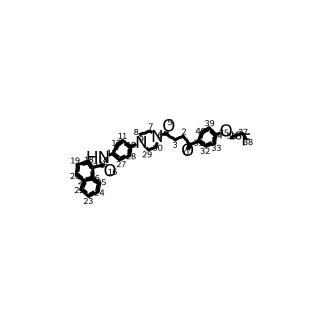 O=C(CCC(=O)N1CCN(c2ccc(NC(=O)c3cccc4ccccc34)cc2)CC1)c1ccc(OCC[18F])cc1